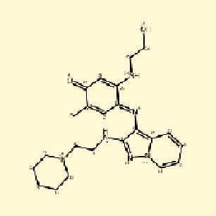 CC1=C/C(=N\c2c(NCCN3CCCCC3)nn3ccccc23)C(NCCO)=CC1=O